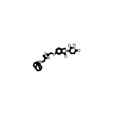 O=C1CCC(N2Cc3ccc(SCc4nc(CNC56CC7CC(CC(C7)C5)C6)cs4)cc3C2=O)C(=O)N1